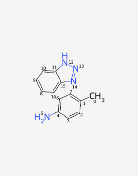 Cc1ccc(N)cc1.c1ccc2[nH]nnc2c1